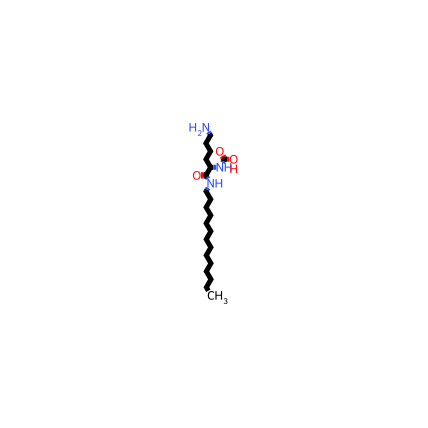 CCCCCCCCCCCCCCNC(=O)C(CCCCN)NC(=O)O